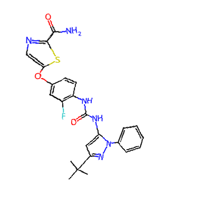 CC(C)(C)c1cc(NC(=O)Nc2ccc(Oc3cnc(C(N)=O)s3)cc2F)n(-c2ccccc2)n1